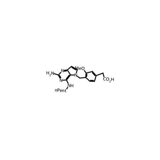 CCCCCNc1nc(N)nc2ccn(Cc3ccc(CC(=O)O)cc3OC)c12